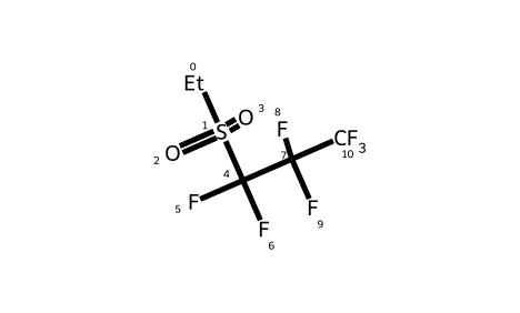 CCS(=O)(=O)C(F)(F)C(F)(F)C(F)(F)F